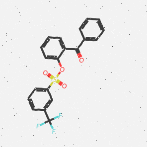 O=C(c1ccccc1)c1ccccc1OS(=O)(=O)c1cccc(C(F)(F)F)c1